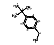 CC(C)(C)c1cnc(CO)cn1